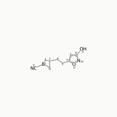 N#CB1CC(CCc2cc(O)no2)C1